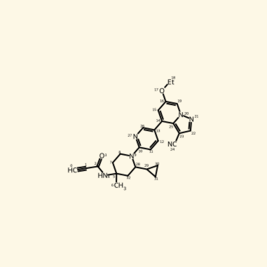 C#CC(=O)NC1(C)CCN(c2ccc(-c3cc(OCC)cn4ncc(C#N)c34)cn2)C(C2CC2)C1